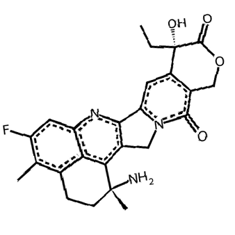 CC[C@@]1(O)C(=O)OCc2c1cc1n(c2=O)Cc2c-1nc1cc(F)c(C)c3c1c2[C@](C)(N)CC3